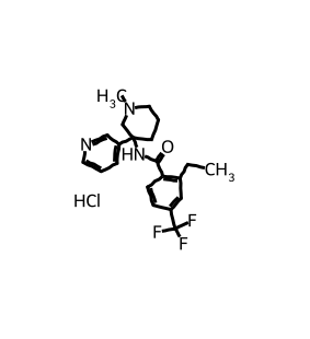 CCc1cc(C(F)(F)F)ccc1C(=O)NC1(c2cccnc2)CCCN(C)C1.Cl